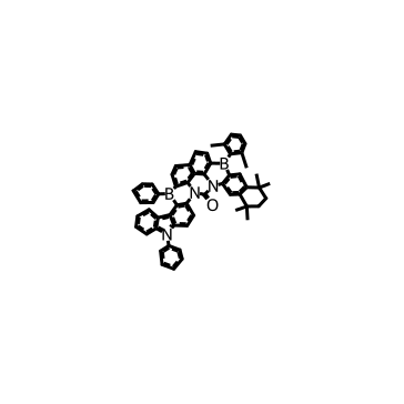 Cc1cccc(C)c1B1c2cc3c(cc2N2C(=O)N4c5ccc6c(c5B(c5ccccc5)c5ccc7ccc1c2c7c54)c1ccccc1n6-c1ccccc1)C(C)(C)CCC3(C)C